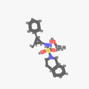 C[C@H]1[C@H](NS(=O)(=O)N2CCc3ccccc3C2)[C@H]1c1ccccc1.O=C(O)O